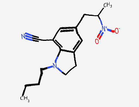 CCCCN1CCc2cc(CC(C)[N+](=O)[O-])cc(C#N)c21